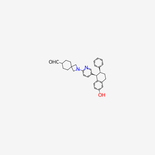 O=CC1CCC2(CC1)CN(c1ccc([C@@H]3c4ccc(O)cc4CC[C@@H]3c3ccccc3)cn1)C2